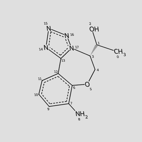 CC(O)[C@@H]1COc2c(N)cccc2-c2nnnn21